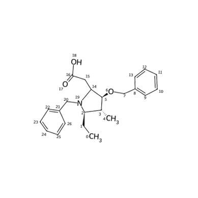 CC[C@@H]1[C@@H](C)[C@H](OCc2ccccc2)C(CC(=O)O)N1Cc1ccccc1